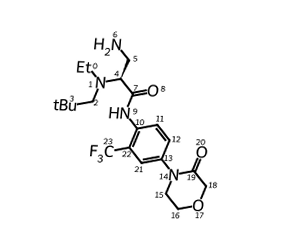 CCN(CC(C)(C)C)[C@@H](CN)C(=O)Nc1ccc(N2CCOCC2=O)cc1C(F)(F)F